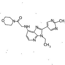 CCn1c(-c2cnc(C)nc2)nc2c(NCC(=O)N3CCOCC3)ccnc21